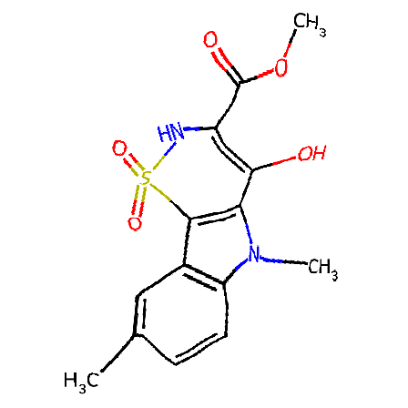 COC(=O)C1=C(O)c2c(c3cc(C)ccc3n2C)S(=O)(=O)N1